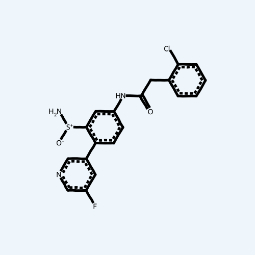 N[S+]([O-])c1cc(NC(=O)Cc2ccccc2Cl)ccc1-c1cncc(F)c1